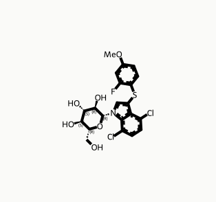 COc1ccc(Sc2cn([C@@H]3O[C@H](CO)[C@@H](O)[C@H](O)[C@H]3O)c3c(Cl)ccc(Cl)c23)c(F)c1